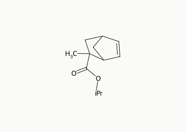 CC(C)OC(=O)C1(C)CC2C=CC1C2